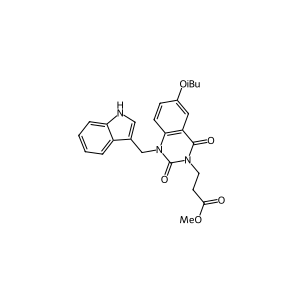 COC(=O)CCn1c(=O)c2cc(OCC(C)C)ccc2n(Cc2c[nH]c3ccccc23)c1=O